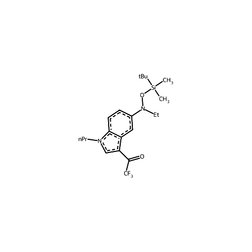 CCCn1cc(C(=O)C(F)(F)F)c2cc(N(CC)O[Si](C)(C)C(C)(C)C)ccc21